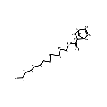 CCCCCCCCCCCCOC(=O)C1CC2C=CC1C2